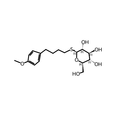 COc1ccc(CCCCS[C@@H]2O[C@H](CO)[C@@H](O)[C@H](O)[C@H]2O)cc1